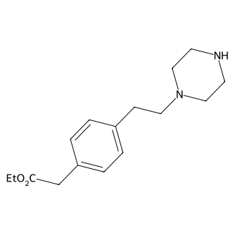 CCOC(=O)Cc1ccc(CCN2CCNCC2)cc1